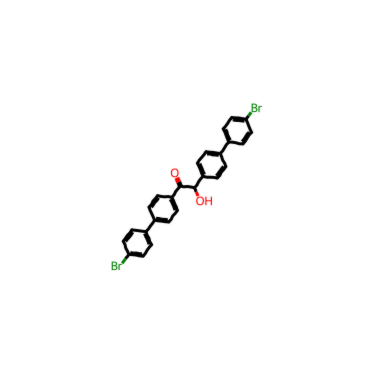 O=C(c1ccc(-c2ccc(Br)cc2)cc1)C(O)c1ccc(-c2ccc(Br)cc2)cc1